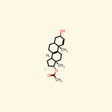 CC(=O)O[C@H]1[C@H](F)C[C@H]2C3=C(CC[C@@]21C)[C@@]1(C)C=C[C@H](O)CC1CC3